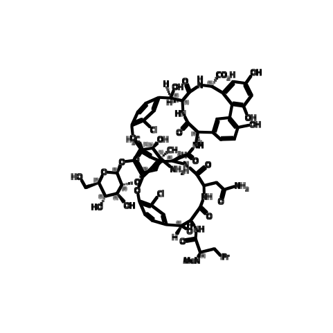 CN[C@H](CC(C)C)C(=O)NC1C(=O)NC(CC(N)=O)C(=O)N[C@H]2C(=O)N[C@H]3C(=O)N[C@H](C(=O)N[C@H](C(=O)O)c4cc(O)cc(O)c4-c4cc3ccc4O)[C@H](O)c3ccc(c(Cl)c3)Oc3cc2cc(c3O[C@@H]2O[C@H](CO)[C@@H](O)[C@H](O)[C@H]2O[C@H]2C[C@](C)(N)[C@H](O)[C@H](C)O2)Oc2ccc(cc2Cl)[C@H]1O